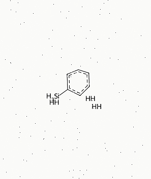 [HH].[HH].[HH].[SiH3]c1ccccc1